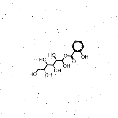 O=C(OC(O)[C@H](O)[C@@H](O)[C@H](O)[C@H](O)CO)c1ccccc1O